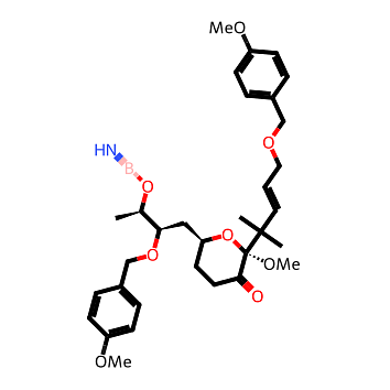 COc1ccc(COC/C=C/C(C)(C)[C@]2(OC)O[C@H](C[C@@H](OCc3ccc(OC)cc3)[C@@H](C)OB=N)CCC2=O)cc1